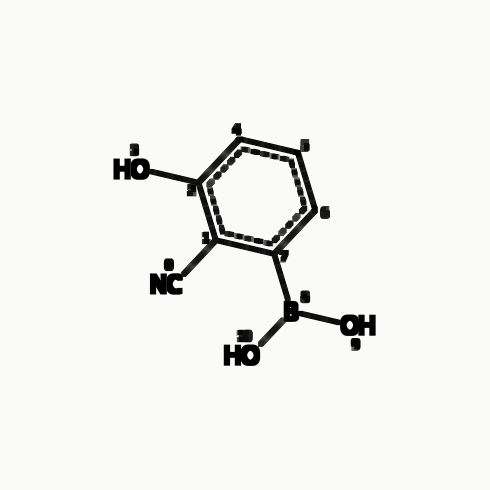 N#Cc1c(O)cccc1B(O)O